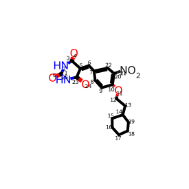 O=C1NC(=O)C(=Cc2ccc(OCCC3CCCCC3)c([N+](=O)[O-])c2)C(=O)N1